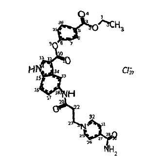 CCOC(=O)c1ccc(OC(=O)c2c[nH]c3ccc(NC(=O)CC[n+]4ccc(C(N)=O)cc4)cc23)cc1.[Cl-]